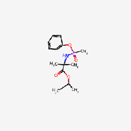 CC(C)OC(=O)C(C)(C)NP(C)(=O)Oc1ccccc1